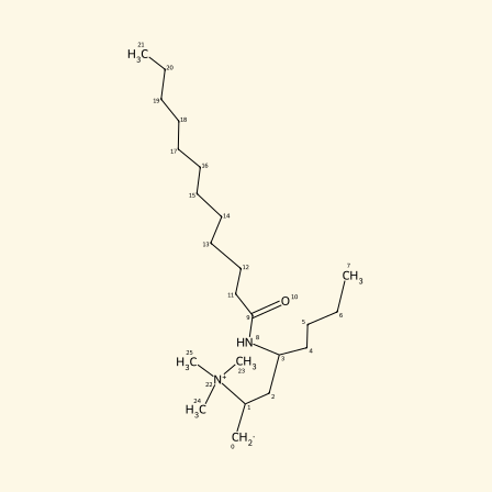 [CH2]C(CC(CCCC)NC(=O)CCCCCCCCCCC)[N+](C)(C)C